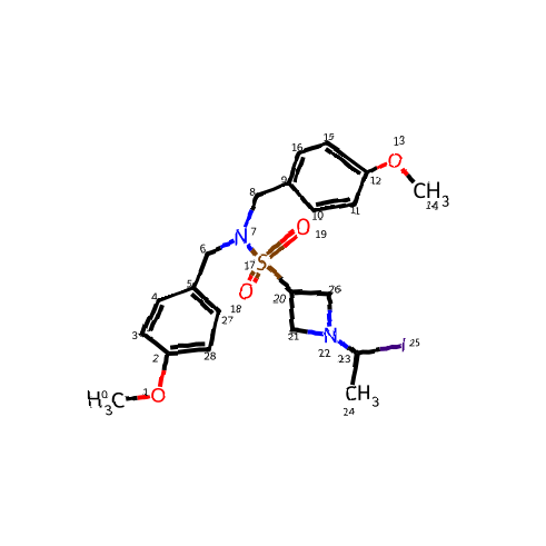 COc1ccc(CN(Cc2ccc(OC)cc2)S(=O)(=O)C2CN(C(C)I)C2)cc1